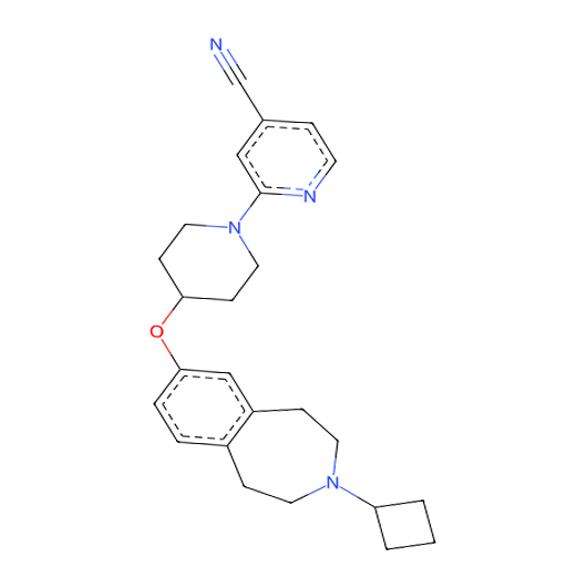 N#Cc1ccnc(N2CCC(Oc3ccc4c(c3)CCN(C3CCC3)CC4)CC2)c1